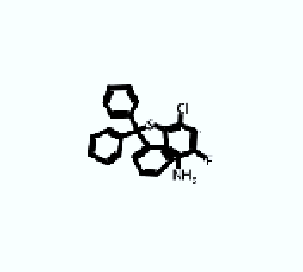 Nc1cc(SC(c2ccccc2)(c2ccccc2)c2ccccc2)c(Cl)[c]c1F